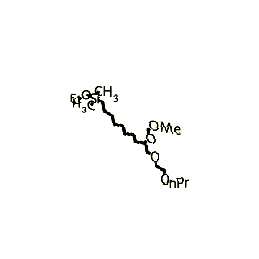 CCCOCCOCC(CCCCCCCC[Si](C)(C)OCC)OCOC